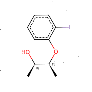 C[C@H](Oc1ccccc1I)[C@@H](C)O